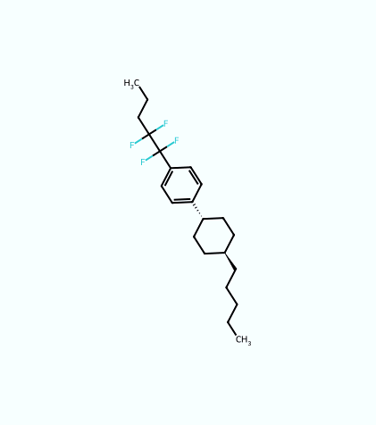 CCCCC[C@H]1CC[C@H](c2ccc(C(F)(F)C(F)(F)CCC)cc2)CC1